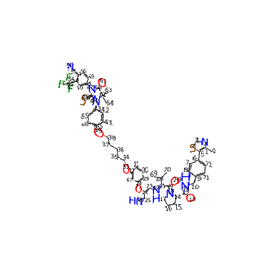 Cc1ncsc1-c1ccc(CNC(=O)[C@@H]2CCCN2C(=O)[C@@H](N/C=C(\C=N)Oc2cccc(OCCCCCOc3ccc(N4C(=S)N(c5ccc(C#N)c(C(F)(F)F)c5)C(=O)C4(C)C)cc3)c2)C(C)C)cc1